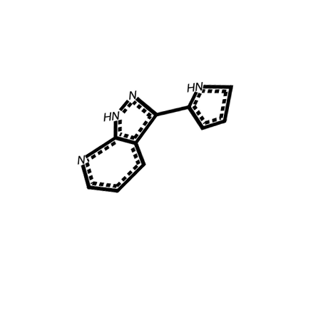 c1c[nH]c(-c2n[nH]c3ncccc23)c1